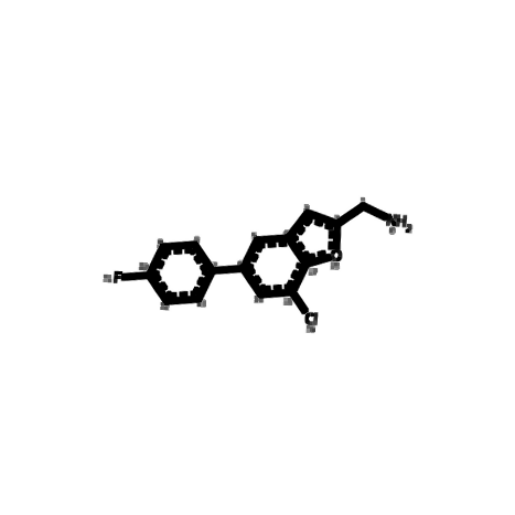 NCc1cc2cc(-c3c[c]c(F)cc3)cc(Cl)c2o1